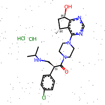 CC(C)NC[C@@H](C(=O)N1CCN(c2ncnc3c2[C@H](C)C[C@H]3O)CC1)c1ccc(Cl)cc1.Cl.Cl